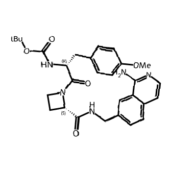 COc1ccc(C[C@@H](NC(=O)OC(C)(C)C)C(=O)N2CC[C@H]2C(=O)NCc2ccc3ccnc(N)c3c2)cc1